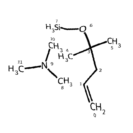 C=CCC(C)(C)O[SiH3].CN(C)C